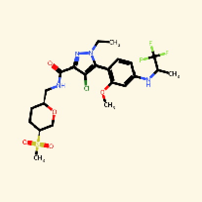 CCn1nc(C(=O)NC[C@@H]2CC[C@H](S(C)(=O)=O)CO2)c(Cl)c1-c1ccc(NC(C)C(F)(F)F)cc1OC